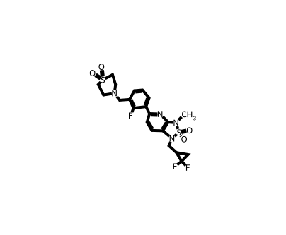 CN1c2nc(-c3cccc(CN4CCS(=O)(=O)CC4)c3F)ccc2N(CC2CC2(F)F)S1(=O)=O